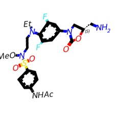 CCN(CCN(OC)S(=O)(=O)c1ccc(NC(C)=O)cc1)c1c(F)cc(N2C[C@H](CN)OC2=O)cc1F